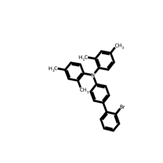 Cc1ccc(N(c2ccc(-c3ccccc3Br)cc2)c2ccc(C)cc2C)c(C)c1